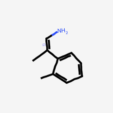 C/C(=C/N)c1ccccc1C